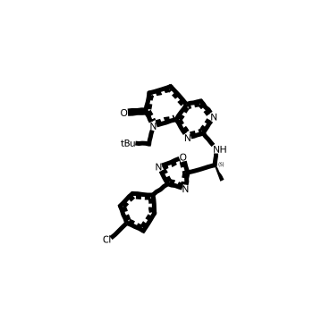 C[C@H](Nc1ncc2ccc(=O)n(CC(C)(C)C)c2n1)c1nc(-c2ccc(Cl)cc2)no1